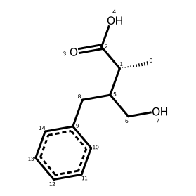 C[C@@H](C(=O)O)C(CO)Cc1ccccc1